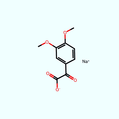 COc1ccc(C(=O)C(=O)[O-])cc1OC.[Na+]